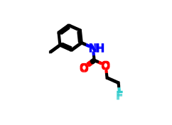 Cc1cccc(NC(=O)OCCF)c1